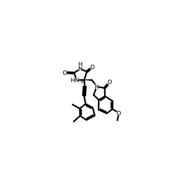 COc1ccc2c(c1)C(=O)N(C[C@@]1(C#Cc3cccc(C)c3C)NC(=O)NC1=O)C2